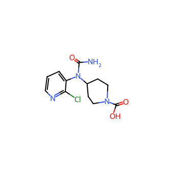 NC(=O)N(c1cccnc1Cl)C1CCN(C(=O)O)CC1